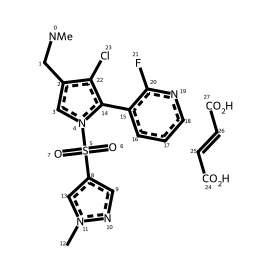 CNCc1cn(S(=O)(=O)c2cnn(C)c2)c(-c2cccnc2F)c1Cl.O=C(O)C=CC(=O)O